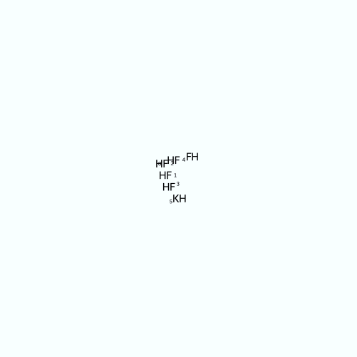 F.F.F.F.F.[KH]